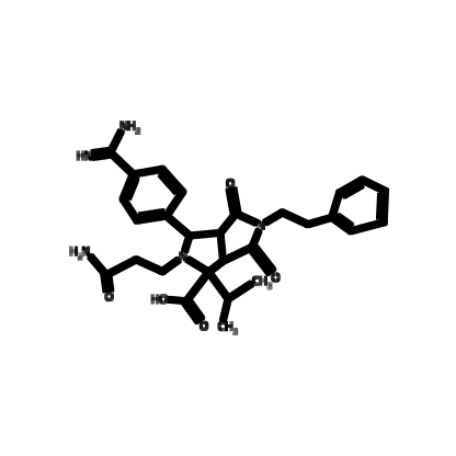 CC(C)C1(C(=O)O)C2C(=O)N(CCc3ccccc3)C(=O)C2C(c2ccc(C(=N)N)cc2)N1CCC(N)=O